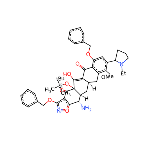 CCN1CCCC1c1cc(OCc2ccccc2)c2c(c1OC)C[C@H]1C[C@H]3[C@H](N)c4onc(OCc5ccccc5)c4C(=O)C3(O[Si](C)(C)C(C)(C)C)C(O)=C1C2=O